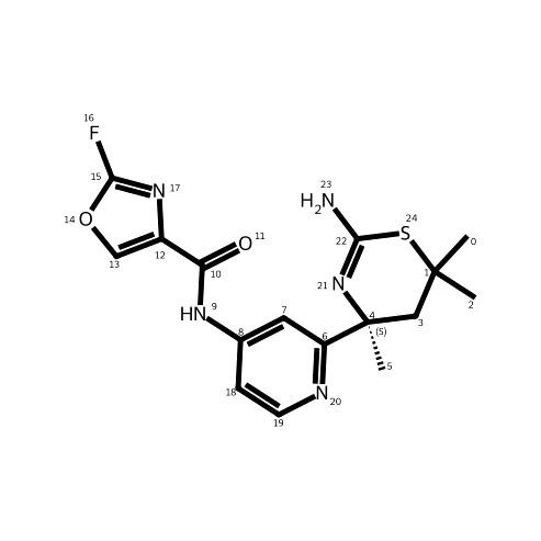 CC1(C)C[C@@](C)(c2cc(NC(=O)c3coc(F)n3)ccn2)N=C(N)S1